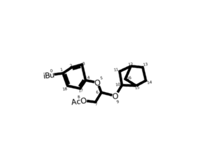 CCC(C)c1ccc(OC(COC(C)=O)OC2CC3CCC2C3)cc1